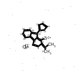 CC(C)=c1ccc2c([c]1[Zr+2])C(C1=CC=CC1)=c1ccccc1=2.[Cl-].[Cl-]